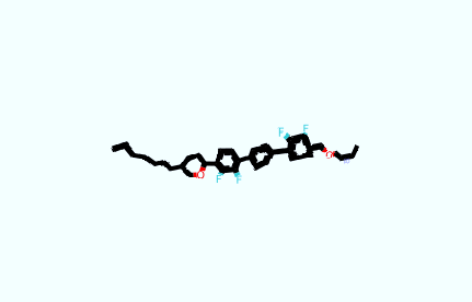 C/C=C\COCc1ccc(-c2ccc(-c3ccc(C4CCC(CCCCCCC)CO4)c(F)c3F)cc2)c(F)c1F